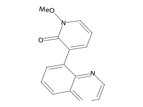 COn1cccc(-c2cccc3cccnc23)c1=O